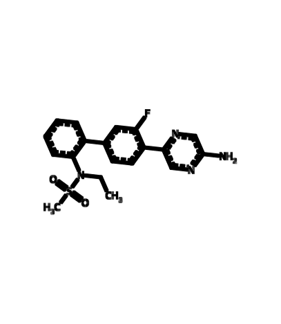 CCN(c1ccccc1-c1ccc(-c2cnc(N)cn2)c(F)c1)S(C)(=O)=O